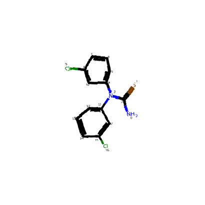 NC(=S)N(c1cccc(Cl)c1)c1cccc(Cl)c1